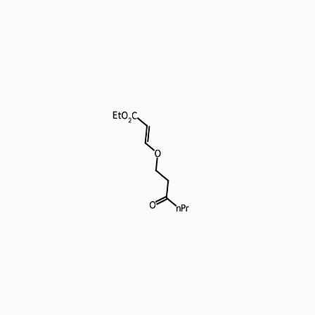 CCCC(=O)CCOC=CC(=O)OCC